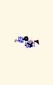 CC(C)N/N=N\C(=N)c1cccc(Nc2ncnn3ccc(C(=O)NCC4CC4)c23)c1